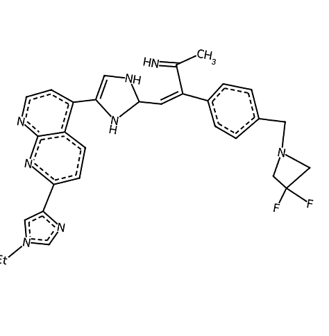 CCn1cnc(-c2ccc3c(C4=CNC(/C=C(\C(C)=N)c5ccc(CN6CC(F)(F)C6)cc5)N4)ccnc3n2)c1